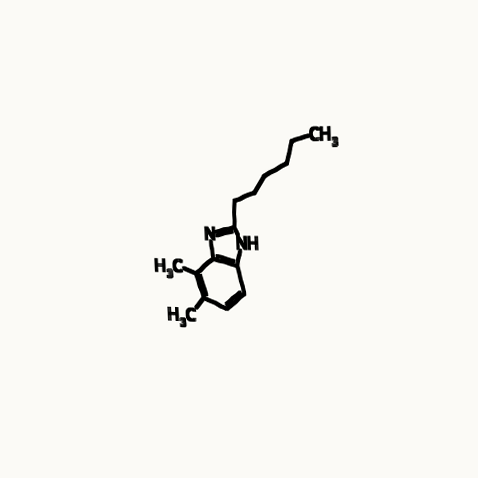 CCCCCCc1nc2c(C)c(C)ccc2[nH]1